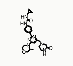 C[C@H]1COCCN1c1cc(CN2CCNC(=O)C2)nc(-c2ccc(NC(=O)NC3CC3)cc2)n1